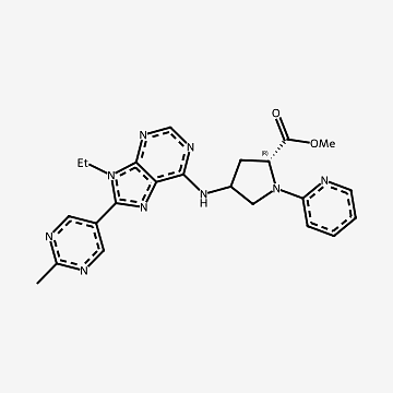 CCn1c(-c2cnc(C)nc2)nc2c(NC3C[C@H](C(=O)OC)N(c4ccccn4)C3)ncnc21